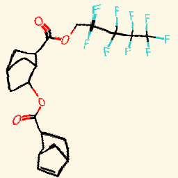 O=C(OC1CC2CC(C(=O)OCC(F)(F)C(F)(F)C(F)(F)C(F)(F)F)C1C2)C1CC2C=CC1C2